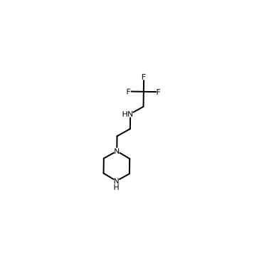 FC(F)(F)CNCCN1CCNCC1